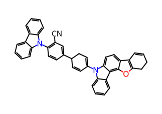 N#Cc1cc(C2C=CC(n3c4ccccc4c4c5oc6c(c5ccc43)C=CCC6)=CC2)ccc1-n1c2ccccc2c2ccccc21